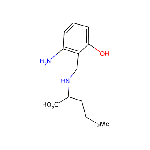 CSCCC(NCc1c(N)cccc1O)C(=O)O